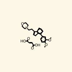 COc1ccc(-c2cccc3c2CC=C3CCN2CCOCC2)cc1OC.O=C(O)C=CC(=O)O